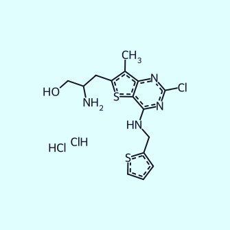 Cc1c(CC(N)CO)sc2c(NCc3cccs3)nc(Cl)nc12.Cl.Cl